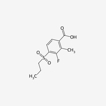 CCCS(=O)(=O)c1ccc(C(=O)O)c(C)c1F